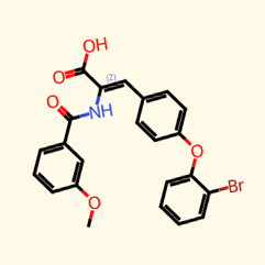 COc1cccc(C(=O)N/C(=C\c2ccc(Oc3ccccc3Br)cc2)C(=O)O)c1